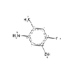 Cc1cc(F)c(O)cc1N